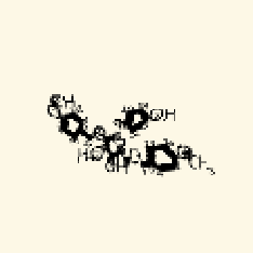 COc1ccc(COC[C@H]2O[C@@H](Sc3ccc(O)cc3)[C@H](OCc3ccc(OC)cc3)[C@@H](O)[C@H]2O)cc1